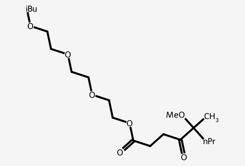 CCCC(C)(OC)C(=O)CCC(=O)OCCOCCOCCOC(C)CC